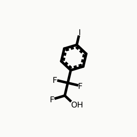 OC(F)C(F)(F)c1ccc(I)cc1